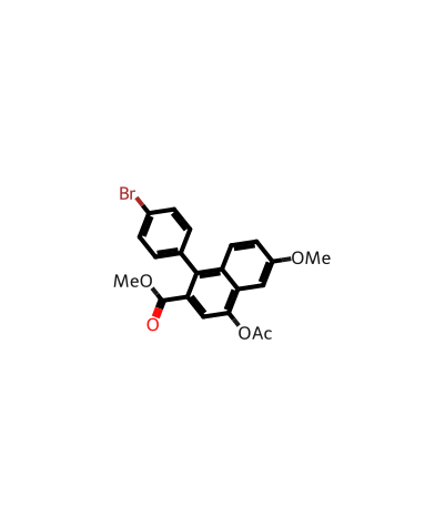 COC(=O)c1cc(OC(C)=O)c2cc(OC)ccc2c1-c1ccc(Br)cc1